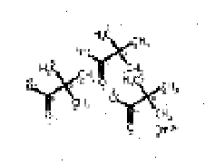 CC(C)(C)C(=O)[O-].CC(C)(C)C(=O)[O-].CC(C)(C)C(=O)[O-].[Tm+3]